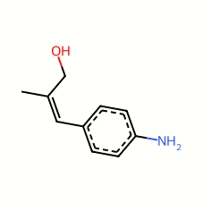 CC(=Cc1ccc(N)cc1)CO